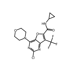 O=C(NC1CC1)c1oc2c(N3CCOCC3)nc(Cl)nc2c1C(F)(F)F